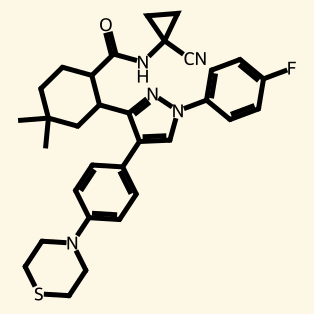 CC1(C)CCC(C(=O)NC2(C#N)CC2)C(c2nn(-c3ccc(F)cc3)cc2-c2ccc(N3CCSCC3)cc2)C1